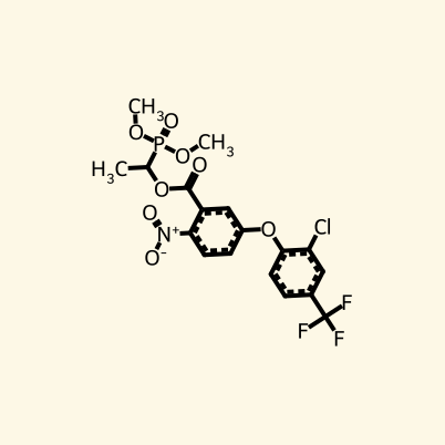 COP(=O)(OC)C(C)OC(=O)c1cc(Oc2ccc(C(F)(F)F)cc2Cl)ccc1[N+](=O)[O-]